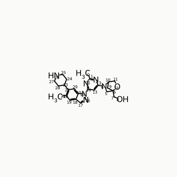 Cc1nc(N2CC3(CO)CC2CO3)cc(-n2ncc3cc(C)c(C4CCNCC4)cc32)n1